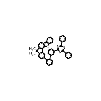 CC1(C)c2ccc(-c3ccccc3-c3cccc(-c4nc(-c5ccccc5)nc(-c5ccccc5)n4)c3)cc2-c2c1ccc1c2oc2ccccc21